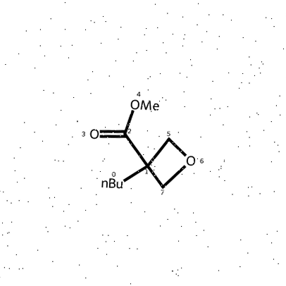 CCCCC1(C(=O)OC)COC1